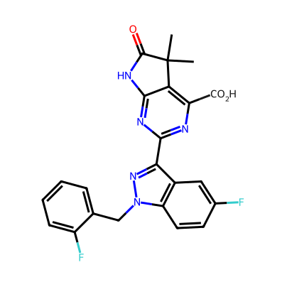 CC1(C)C(=O)Nc2nc(-c3nn(Cc4ccccc4F)c4ccc(F)cc34)nc(C(=O)O)c21